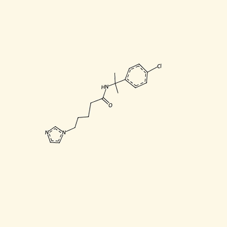 CC(C)(NC(=O)CCCCn1ccnc1)c1ccc(Cl)cc1